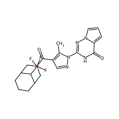 Cc1c(C(=O)N2CC3CCCC(C2)C3C(F)(F)F)cnn1-c1nn2cccc2c(=O)[nH]1